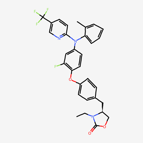 CCN1C(=O)OC[C@@H]1Cc1ccc(Oc2ccc(N(c3ccc(C(F)(F)F)cn3)c3ccccc3C)cc2F)cc1